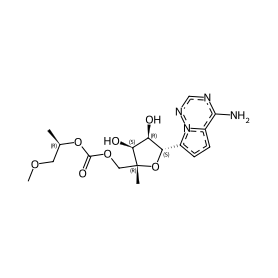 COC[C@@H](C)OC(=O)OC[C@@]1(C)O[C@@H](c2ccc3c(N)ncnn23)[C@H](O)[C@@H]1O